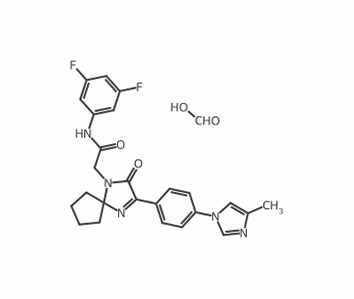 Cc1cn(-c2ccc(C3=NC4(CCCC4)N(CC(=O)Nc4cc(F)cc(F)c4)C3=O)cc2)cn1.O=CO